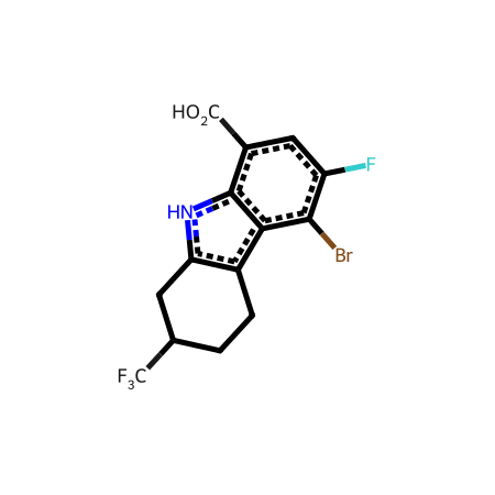 O=C(O)c1cc(F)c(Br)c2c3c([nH]c12)CC(C(F)(F)F)CC3